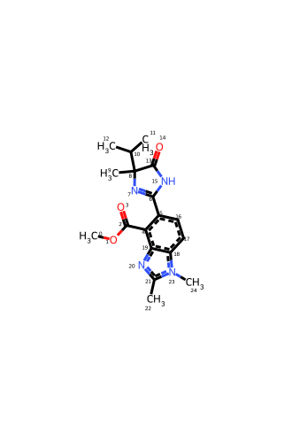 COC(=O)c1c(C2=NC(C)(C(C)C)C(=O)N2)ccc2c1nc(C)n2C